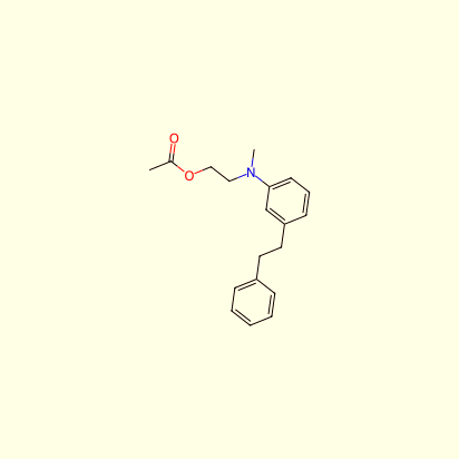 CC(=O)OCCN(C)c1cccc(CCc2ccccc2)c1